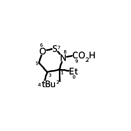 CCC1(C)C(C(C)(C)C)COSN1C(=O)O